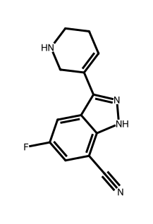 N#Cc1cc(F)cc2c(C3=CCCNC3)n[nH]c12